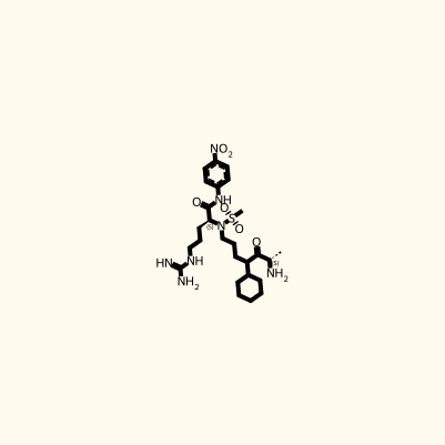 C[C@H](N)C(=O)C(CCCN([C@@H](CCCNC(=N)N)C(=O)Nc1ccc([N+](=O)[O-])cc1)S(C)(=O)=O)C1CCCCC1